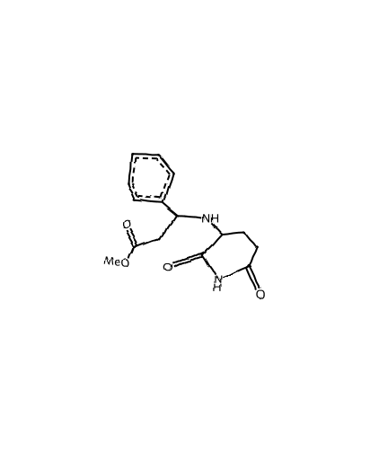 COC(=O)CC(NC1CCC(=O)NC1=O)c1ccccc1